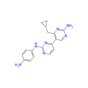 Nc1ccc(Nc2nccc(-c3cnc(N)nc3CC3CC3)n2)cc1